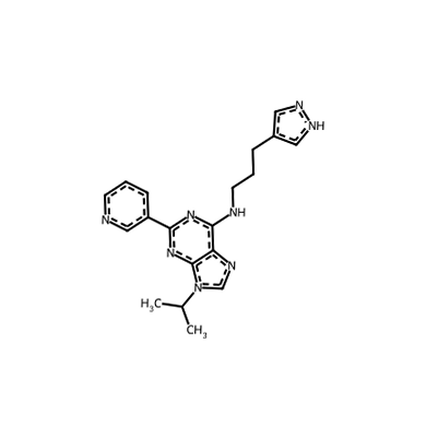 CC(C)n1cnc2c(NCCCc3cn[nH]c3)nc(-c3cccnc3)nc21